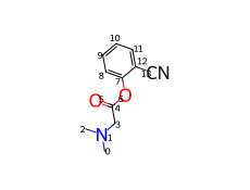 CN(C)CC(=O)Oc1ccccc1C#N